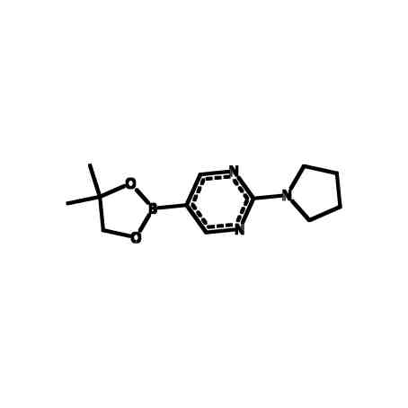 CC1(C)COB(c2cnc(N3CCCC3)nc2)O1